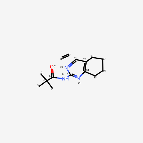 C=C.CC(C)(C)C(=O)Nc1ncc2c(n1)CCCC2